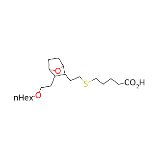 CCCCCCOCCC1C2CCC(O2)C1CCSCCCCC(=O)O